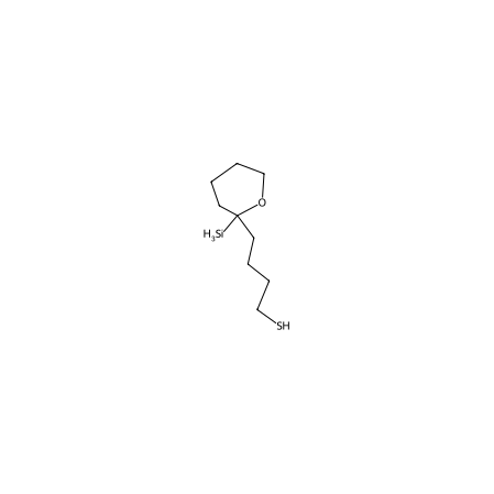 [SiH3]C1(CCCCS)CCCCO1